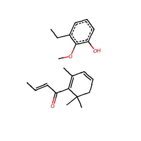 C/C=C/C(=O)C1=C(C)C=CCC1(C)C.CCc1cccc(O)c1OC